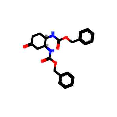 O=C1CC[C@@H](NC(=O)OCc2ccccc2)[C@@H](NC(=O)OCc2ccccc2)C1